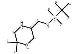 CC1(C)CNC(CO[Si](C)(C)C(C)(C)C)CO1